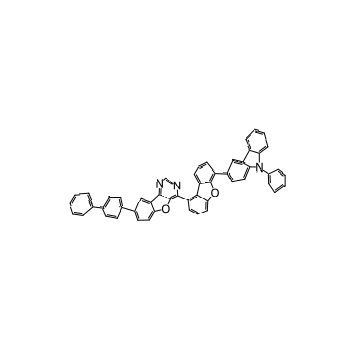 c1ccc(-c2ccc(-c3ccc4oc5c(-c6cccc7oc8c(-c9ccc%10c(c9)c9ccccc9n%10-c9ccccc9)cccc8c67)ncnc5c4c3)cc2)cc1